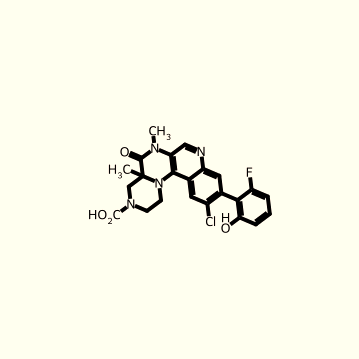 CN1C(=O)C2(C)CN(C(=O)O)CCN2c2c1cnc1cc(-c3c(O)cccc3F)c(Cl)cc21